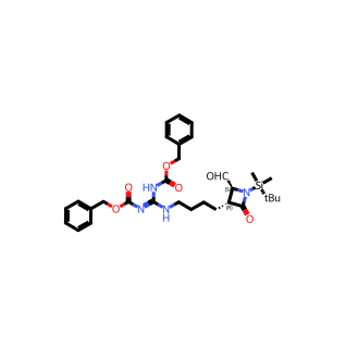 CC(C)(C)[Si](C)(C)N1C(=O)[C@H](CCCCNC(=NC(=O)OCc2ccccc2)NC(=O)OCc2ccccc2)[C@H]1C=O